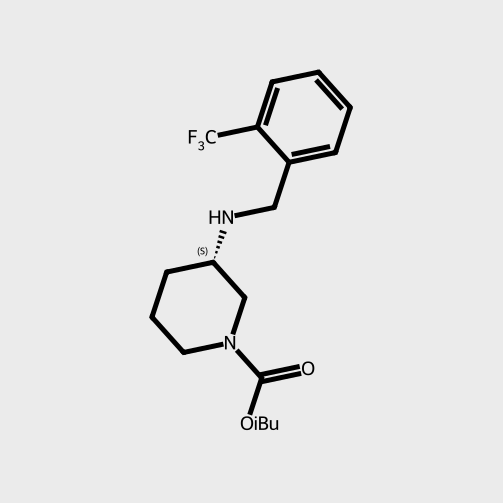 CC(C)COC(=O)N1CCC[C@H](NCc2ccccc2C(F)(F)F)C1